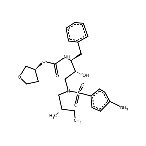 CC[C@H](C)CN(C[C@@H](O)[C@H](Cc1ccccc1)NC(=O)O[C@H]1CCOC1)S(=O)(=O)c1ccc(N)cc1